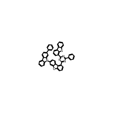 c1ccc(-c2ccc3c4ccccc4n(-c4ccc5c(c4)oc4cccc(-c6nc(-c7ccccc7)nc(-c7cccc8c7sc7ccccc78)n6)c45)c3c2)cc1